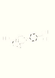 CC(=O)N1CCN(c2ccc(C(C)C)cc2)CC12CC2